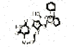 COCCO[C@H]1C(O[P@@]2O[C@H](c3ccccc3)[C@@H]3CCCN32)[C@@H](CO)O[C@H]1n1cc(C)c(=O)[nH]c1=O